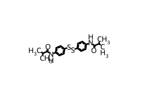 CC(C)C(=O)Nc1ccc(SSc2ccc(NC(=O)C(C)C)cc2)cc1